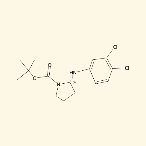 CC(C)(C)OC(=O)N1CCC[C@H]1Nc1ccc(Cl)c(Cl)c1